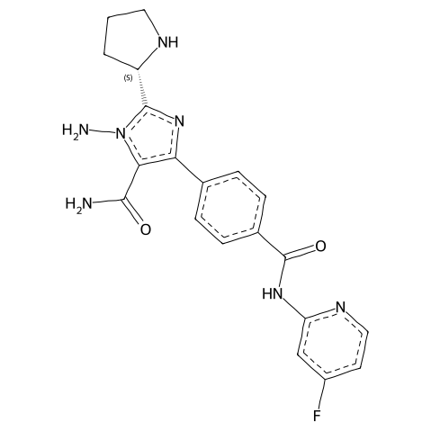 NC(=O)c1c(-c2ccc(C(=O)Nc3cc(F)ccn3)cc2)nc([C@@H]2CCCN2)n1N